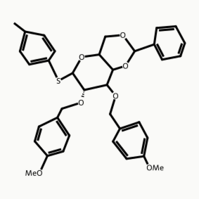 COc1ccc(COC2C3OC(c4ccccc4)OCC3OC(Sc3ccc(C)cc3)[C@H]2OCc2ccc(OC)cc2)cc1